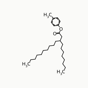 CCCCCCCCCCC(CCCCCCCC)CC(=O)Oc1ccc(C)cc1